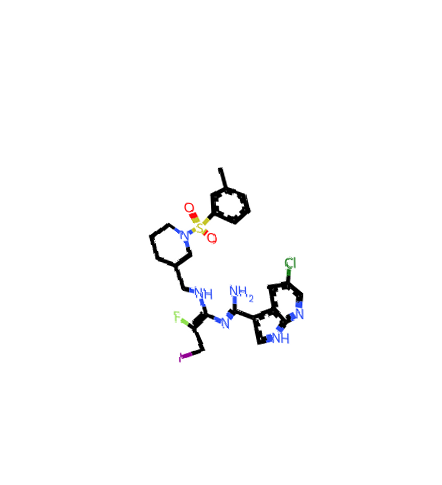 Cc1cccc(S(=O)(=O)N2CCCC(CNC(/N=C(\N)c3c[nH]c4ncc(Cl)cc34)=C(\F)CI)C2)c1